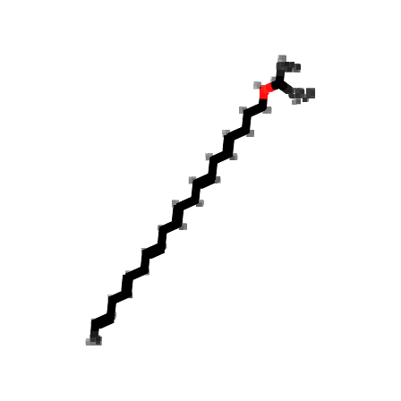 CCC=CCC=CCC=CCC=CCC=CCC=CCCCOC(OC)C(=O)O